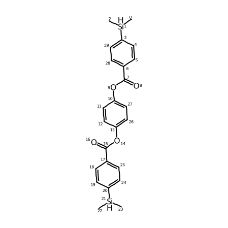 C[SiH](C)c1ccc(C(=O)Oc2ccc(OC(=O)c3ccc([SiH](C)C)cc3)cc2)cc1